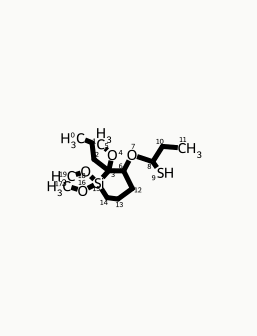 CCCC1(OC)C(OC(S)CC)CCC[Si]1(OC)OC